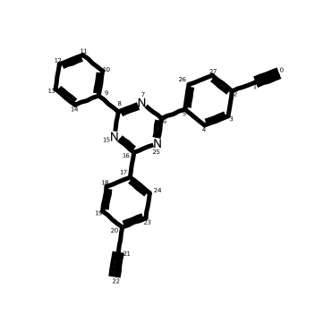 C#Cc1ccc(-c2nc(-c3ccccc3)nc(-c3ccc(C#C)cc3)n2)cc1